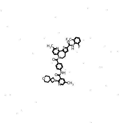 Cc1cnc(N2CC3(CCOCC3)C2)c(C(=O)Nc2ccc(C(=O)N3CCc4cc(C(=O)Nc5c(F)cccc5C(F)(F)F)sc4-c4nc(C)ccc43)cc2)c1